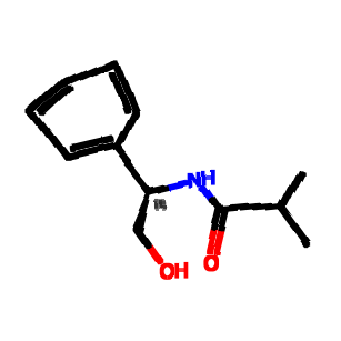 CC(C)C(=O)N[C@@H](CO)c1ccccc1